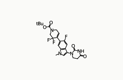 Cn1cc(N2CCC(=O)NC2=O)c2cc(F)c(C3=CCN(C(=O)OC(C)(C)C)CC3(F)F)cc21